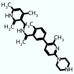 C=C1NC(C)=CC(C)=C1CNC(=C)c1cc(-c2ccc(N3CCNCC3)nc2C)ccc1C